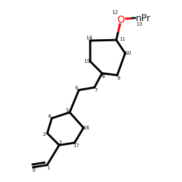 C=CC1CCC(CCC2CCC(OCCC)CC2)CC1